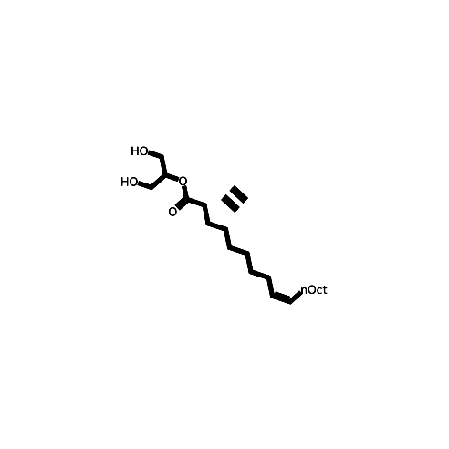 C=C.C=C.CCCCCCCC/C=C\CCCCCCCC(=O)OC(CO)CO